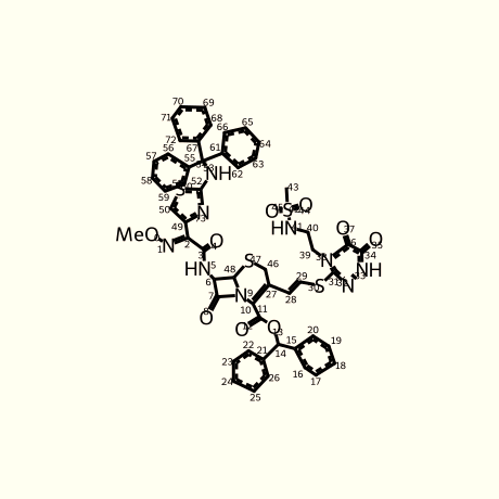 CON=C(C(=O)NC1C(=O)N2C(C(=O)OC(c3ccccc3)c3ccccc3)=C(C=CSc3n[nH]c(=O)c(=O)n3CCNS(C)(=O)=O)CSC12)c1csc(NC(c2ccccc2)(c2ccccc2)c2ccccc2)n1